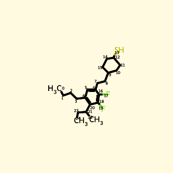 CCCCc1cc(CCC2CCC(S)CC2)c(F)c(F)c1C(C)CC